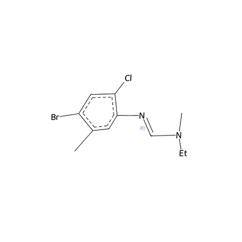 CCN(C)/C=N/c1cc(C)c(Br)cc1Cl